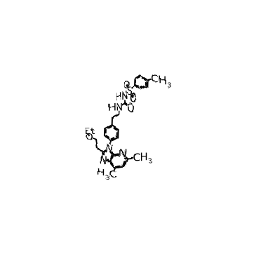 CCOCCc1nc2c(C)cc(C)nc2n1-c1ccc(CCNC(=O)NS(=O)(=O)c2ccc(C)cc2)cc1